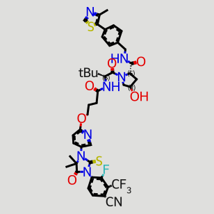 Cc1ncsc1-c1ccc(CNC(=O)[C@@H]2C[C@@H](O)CN2C(=O)[C@@H](NC(=O)CCCOc2ccc(N3C(=S)N(c4ccc(C#N)c(C(F)(F)F)c4F)C(=O)C3(C)C)cn2)C(C)(C)C)cc1